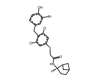 CC(C)c1cc(Cc2c(Cl)cc(SCC(=O)N[C@H]3CCC4CC3C4)cc2Cl)ccc1O